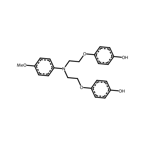 COc1ccc(N(CCOc2ccc(O)cc2)CCOc2ccc(O)cc2)cc1